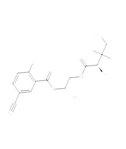 C[C@@H](CNC(=O)[C@H](O)C(C)(C)CO)NC(=O)c1cc(C#N)ccc1F